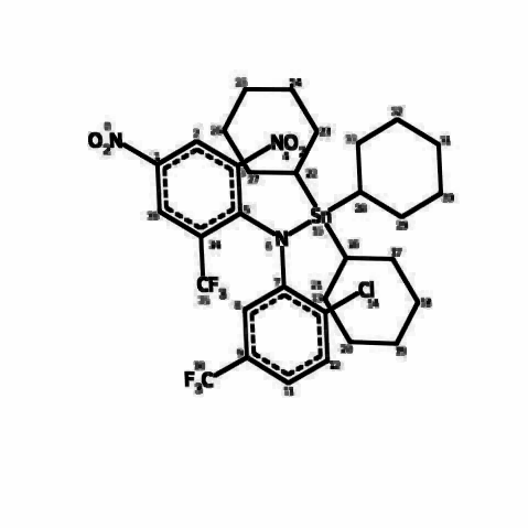 O=[N+]([O-])c1cc([N+](=O)[O-])c([N](c2cc(C(F)(F)F)ccc2Cl)[Sn]([CH]2CCCCC2)([CH]2CCCCC2)[CH]2CCCCC2)c(C(F)(F)F)c1